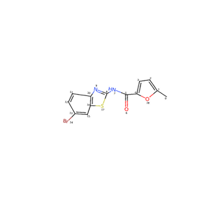 Cc1ccc(C(=O)Nc2nc3ccc(Br)cc3s2)o1